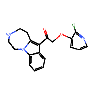 O=C(COc1cccnc1Cl)c1c2n(c3ccccc13)CCNCC2